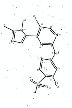 Cc1ncc(-c2nc(Nc3ccc(S(C)(=O)=O)c(Cl)c3)ncc2F)n1C